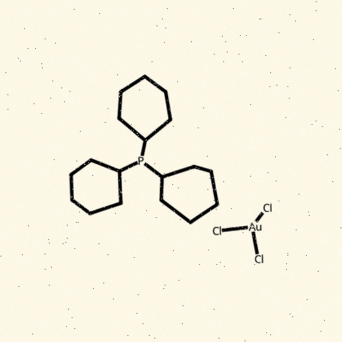 C1CCC(P(C2CCCCC2)C2CCCCC2)CC1.[Cl][Au]([Cl])[Cl]